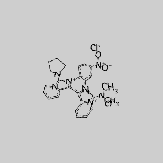 CN(C)c1n2c3cc([N+](=O)[O-])ccc3[n+]3c(N4CCCC4)n4ccccc4c3c2c2cccc[n+]12.[Cl-].[Cl-]